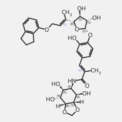 C/C(=C\c1ccc(O[C@@H]2O[C@H](/C(C)=C/COc3cccc4c3CCC4)[C@@H](O)[C@@H]2O)c(O)c1)C(=O)N[C@@H]1[C@H](O)[C@@H](O)[C@H]2OCO[C@H]2[C@@H]1O